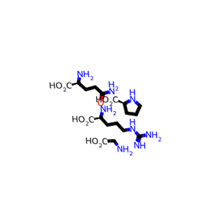 N=C(N)NCCC[C@H](N)C(=O)O.NC(=O)CC[C@H](N)C(=O)O.NCC(=O)O.O=C(O)[C@@H]1CCCN1